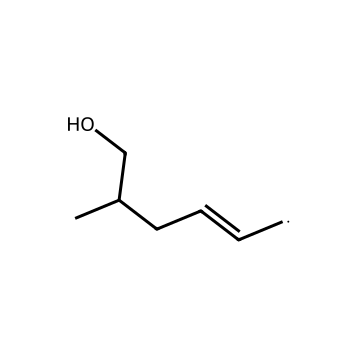 [CH2]C=CCC(C)CO